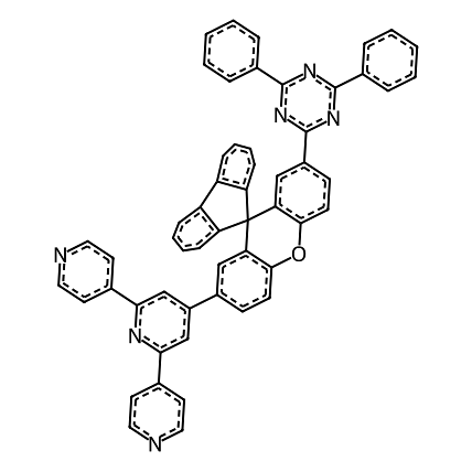 c1ccc(-c2nc(-c3ccccc3)nc(-c3ccc4c(c3)C3(c5cc(-c6cc(-c7ccncc7)nc(-c7ccncc7)c6)ccc5O4)c4ccccc4-c4ccccc43)n2)cc1